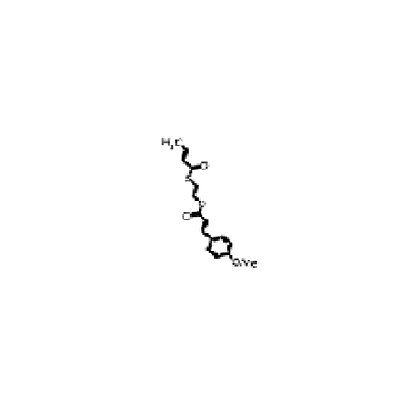 C/C=C/C(=O)SCCOC(=O)C=Cc1ccc(OC)cc1